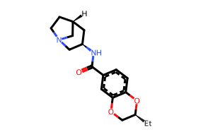 CC[C@H]1COc2cc(C(=O)N[C@@H]3C[C@H]4CCN(C4)C3)ccc2O1